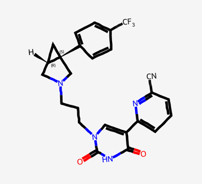 N#Cc1cccc(-c2cn(CCCN3C[C@@H]4C[C@]4(c4ccc(C(F)(F)F)cc4)C3)c(=O)[nH]c2=O)n1